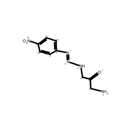 NCC(=O)CNN=Nc1ccc([N+](=O)[O-])cc1